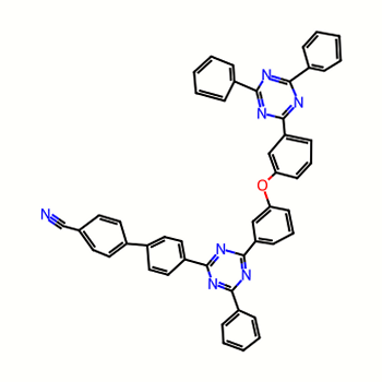 N#Cc1ccc(-c2ccc(-c3nc(-c4ccccc4)nc(-c4cccc(Oc5cccc(-c6nc(-c7ccccc7)nc(-c7ccccc7)n6)c5)c4)n3)cc2)cc1